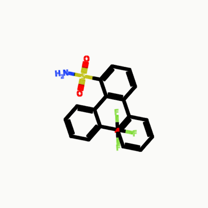 NS(=O)(=O)c1cccc(-c2ccccc2)c1-c1ccccc1C(F)(F)F